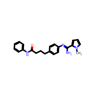 Cn1cccc1C(N)=Nc1ccc(CCCC(=O)Nc2ccccc2)cc1